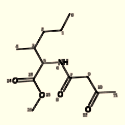 CCCC(C)C(NC(=O)CC(C)=O)C(=O)OC